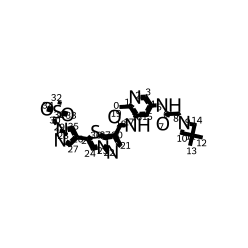 Cc1ncc(NC(=O)CN2CC(C)(C)C2)cc1NC(=O)c1cnn2cc(-c3cnn(CS(C)(=O)=O)c3)sc12